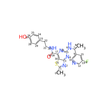 Cc1nc2nc(N[C@@H](C)c3cncc(F)c3)nc(C(=O)NCCc3ccc(O)cc3)c2s1